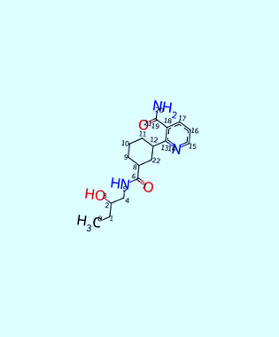 CCC(O)CNC(=O)C1CCCC(c2ncccc2C(N)=O)C1